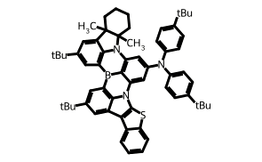 CC(C)(C)c1ccc(N(c2ccc(C(C)(C)C)cc2)c2cc3c4c(c2)-n2c5sc6ccccc6c5c5cc(C(C)(C)C)cc(c52)B4c2cc(C(C)(C)C)cc4c2N3C2(C)CCCCC42C)cc1